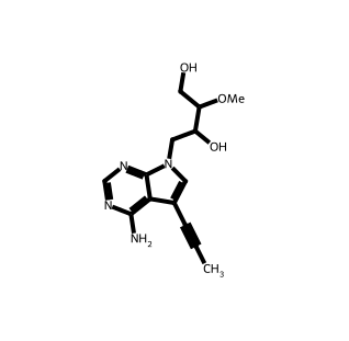 CC#Cc1cn(CC(O)C(CO)OC)c2ncnc(N)c12